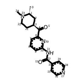 C[C@@H]1C[C@@H](C(=O)c2cccc(NC(=O)c3ccncc3)n2)CCN1C